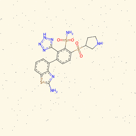 Nc1nc2c(-c3ccc(S(=O)(=O)C4CCNC4)c(S(N)(=O)=O)c3-c3nn[nH]n3)cccc2s1